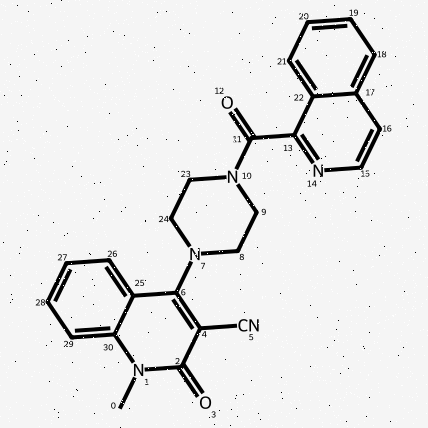 Cn1c(=O)c(C#N)c(N2CCN(C(=O)c3nccc4ccccc34)CC2)c2ccccc21